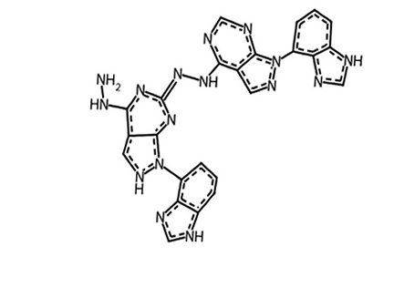 NNc1nc(=NNc2ncnc3c2cnn3-c2cccc3[nH]cnc23)nc2n(-c3cccc4[nH]cnc34)[nH]cc1-2